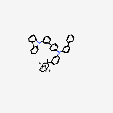 CC1(c2cccc(N(c3ccc(-c4cccc(-n5c6ccccc6c6ccccc65)c4)cc3)c3cccc(-c4ccccc4)c3)c2)C[C@@H]2CC[C@H](C2)C1